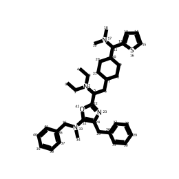 CCN(CC)C(CC1CCC(C(c2cccs2)N(C)C)CC1)c1nc(Cc2ccccc2)c(N(C)Cc2ccccc2)o1